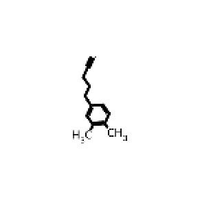 [C]#CCCCc1ccc(C)c(C)c1